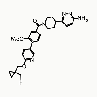 COc1cc(C(=O)N2CCC(c3ccc(N)nn3)CC2)ccc1-c1ccc(OCC2(CF)CC2)nc1